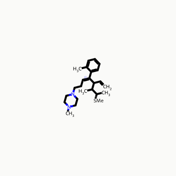 C=CC(/C(=C\CCN1CCN(C)CC1)c1ccccc1C)C(C)C(C)SC